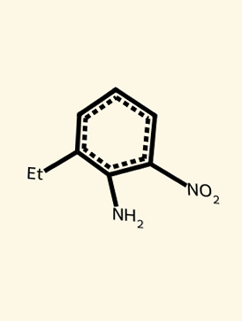 CCc1cccc([N+](=O)[O-])c1N